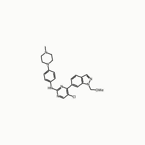 COCn1ncc2ccc(-c3nc(Nc4ccc(N5CCN(C)CC5)cc4)ncc3Cl)cc21